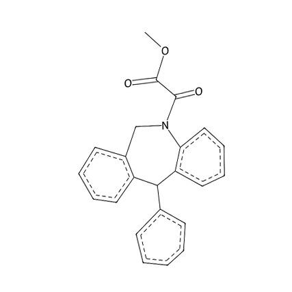 COC(=O)C(=O)N1Cc2ccccc2C(c2ccccc2)c2ccccc21